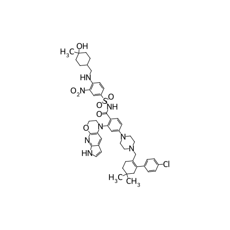 CC1(C)CCC(CN2CCN(c3ccc(C(=O)NS(=O)(=O)c4ccc(NCC5CCC(C)(O)CC5)c([N+](=O)[O-])c4)c(N4CCOc5nc6[nH]ccc6cc54)c3)CC2)=C(c2ccc(Cl)cc2)C1